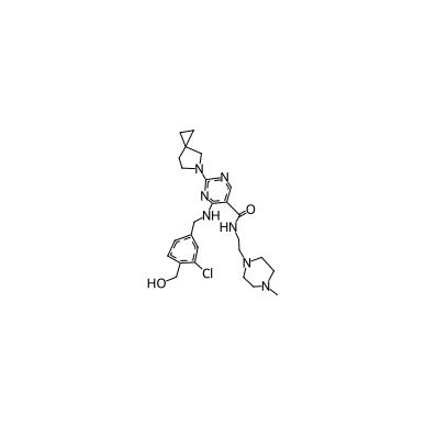 CN1CCN(CCNC(=O)c2cnc(N3CCC4(CC4)C3)nc2NCc2ccc(CO)c(Cl)c2)CC1